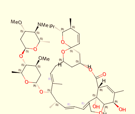 CN[C@H]1[C@H](C)O[C@@H](O[C@H]2[C@H](C)O[C@@H](O[C@@H]3/C(C)=C/C[C@@H]4C[C@@H](C[C@]5(C=C[C@H](C)[C@@H](C(C)C)O5)O4)OC(=O)[C@@H]4C=C(C)[C@@H](O)[C@H]5OC/C(=C\C=C\[C@@H]3C)[C@]54O)C[C@@H]2OC)C[C@@H]1OC